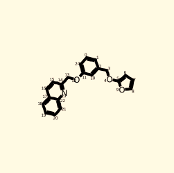 c1cc(COc2ccco2)cc(OCc2ccc3ccccc3n2)c1